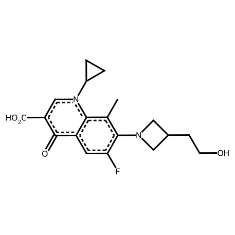 Cc1c(N2CC(CCO)C2)c(F)cc2c(=O)c(C(=O)O)cn(C3CC3)c12